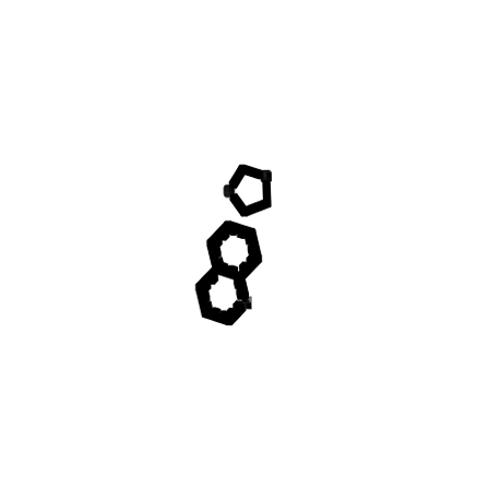 C1COCO1.c1ccc2ncccc2c1